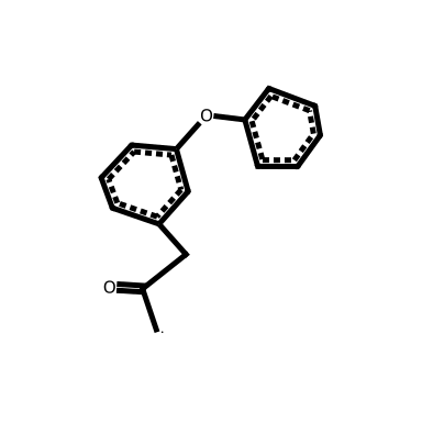 [CH2]C(=O)Cc1cccc(Oc2ccccc2)c1